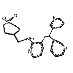 O=S1(=O)CCC(CNc2ncccc2CC(c2cccnc2)c2cccnc2)C1